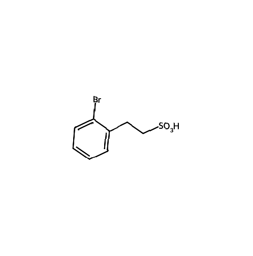 O=S(=O)(O)CCc1ccccc1Br